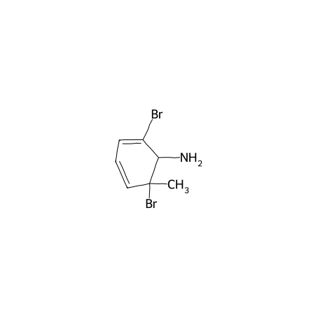 CC1(Br)C=CC=C(Br)C1N